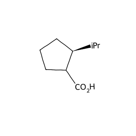 CC(C)[C@@H]1CCCC1C(=O)O